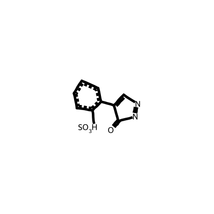 O=C1N=NC=C1c1ccccc1S(=O)(=O)O